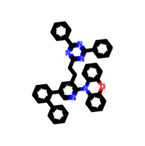 c1ccc(-c2nc(CCc3cc(-c4ccccc4-c4ccccc4)cnc3N3c4ccccc4Oc4ccccc43)nc(-c3ccccc3)n2)cc1